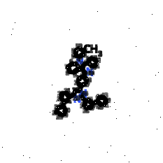 CC1C=C(n2c3ccccc3c3c(-c4ccc(-c5cc(-c6cccc(-c7ccccc7)c6)nc(-c6cccc(-c7ccccc7)c6)n5)cc4)nc4ccccc4c32)C=CC1